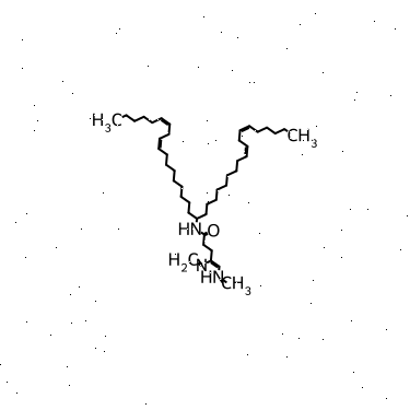 C=N/C(=C\NC)CCC(=O)NC(CCCCCCCC/C=C\C/C=C\CCCCC)CCCCCCCC/C=C\C/C=C\CCCCC